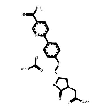 COC(=O)C[C@@H]1C[C@@H](COc2ccc(-c3ccc(C(=N)N)cn3)cc2)NC1=O.COC(=O)Cl